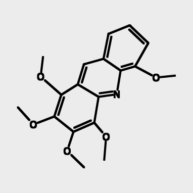 COc1c(OC)c(OC)c2nc3c(OC)cccc3cc2c1OC